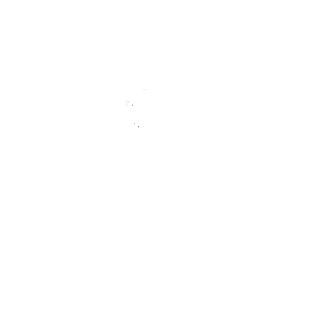 CC(c1cccc(Br)c1)c1cccc2ccc3c(c12)CCC1=C3C=CCC1.O=c1[nH]ncc2ccccc12